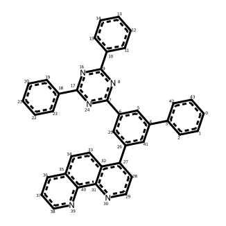 c1ccc(-c2cc(-c3nc(-c4ccccc4)nc(-c4ccccc4)n3)cc(-c3ccnc4c3ccc3cccnc34)c2)cc1